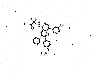 COc1cccc(-c2cnc(O)c3cc(-c4ccccc4)c(-c4ccc(CN)cc4)nc23)c1.O=C(O)C(F)(F)F